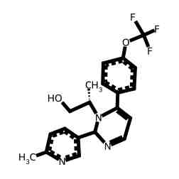 Cc1ccc(C2N=CC=C(c3ccc(OC(F)(F)F)cc3)N2[C@@H](C)CO)cn1